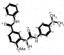 COc1ccc(C(=O)Nc2ccccc2)cc1N(S)C(=O)Nc1ccc(N(C)C)cc1